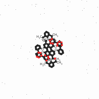 CC(C)c1cccc(C(C)C)c1N1C(=O)c2cc(Oc3ccccc3-c3cccnc3)c3c4c(Oc5ccccc5-c5cccnc5)cc5c6c(cc(Oc7ccccc7-c7cccnc7)c(c7c(Oc8ccccc8-c8cccnc8)cc(c2c37)C1=O)c64)C(=O)N(c1c(C(C)C)cccc1C(C)C)C5=O